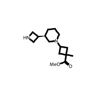 COC(=O)C1(C)CC(N2CCC[C@H](C3CNC3)C2)C1